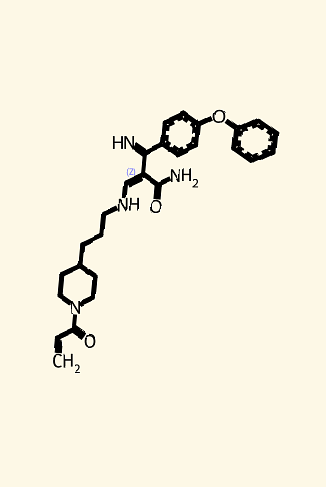 C=CC(=O)N1CCC(CCCN/C=C(/C(=N)c2ccc(Oc3ccccc3)cc2)C(N)=O)CC1